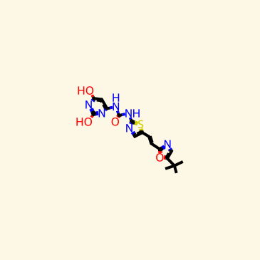 CC(C)(C)c1cnc(C=Cc2cnc(NC(=O)Nc3cc(O)nc(O)n3)s2)o1